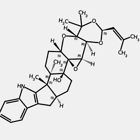 CC(C)=C[C@H]1O[C@H]2[C@H]3O[C@@]34[C@H](CC[C@@]3(C)[C@@]4(O)CC[C@H]4Cc5c([nH]c6ccccc56)[C@@]43C)O[C@@H]2C(C)(C)O1